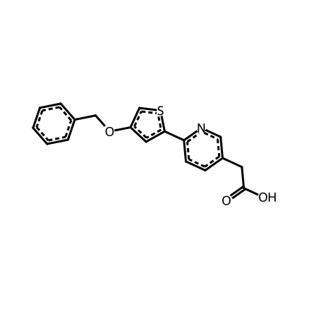 O=C(O)Cc1ccc(-c2cc(OCc3ccccc3)cs2)nc1